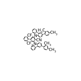 Cc1ccc(-c2ccc3c(c2)c2ccccc2n3-c2cc(-c3c(C(F)(F)F)cccc3C(F)(F)F)cc(-n3c4ccccc4c4cc(-c5ccc(C)cc5C)ccc43)c2C#N)c(C)c1